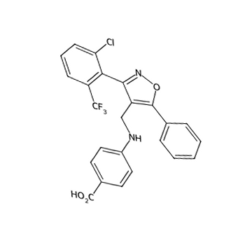 O=C(O)c1ccc(NCc2c(-c3c(Cl)cccc3C(F)(F)F)noc2-c2ccccc2)cc1